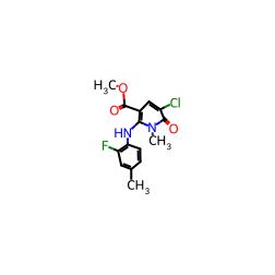 COC(=O)c1cc(Cl)c(=O)n(C)c1Nc1ccc(C)cc1F